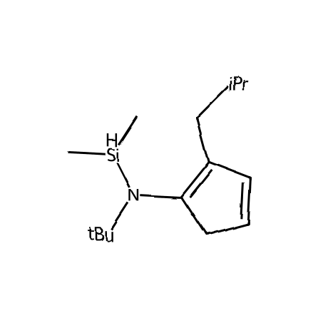 CC(C)CC1=C(N([SiH](C)C)C(C)(C)C)CC=C1